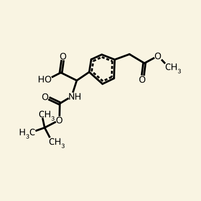 COC(=O)Cc1ccc(C(NC(=O)OC(C)(C)C)C(=O)O)cc1